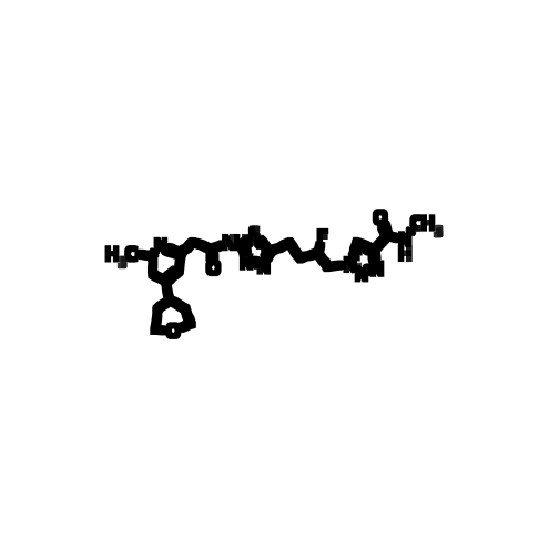 CNC(=O)c1cn(CC(F)CCc2nnc(NC(=O)CC3=NC(C)CC(C4CCOCC4)=C3)s2)nn1